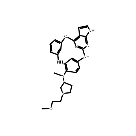 COCCN1CC[C@H](N(C)c2ccc(Nc3nc(Oc4cccc(N)c4)c4cc[nH]c4n3)cc2)C1